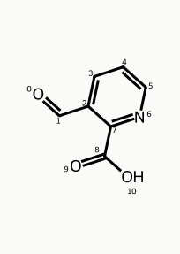 O=Cc1cccnc1C(=O)O